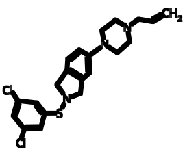 C=CCN1CCN(c2ccc3c(c2)CN(Sc2cc(Cl)cc(Cl)c2)C3)CC1